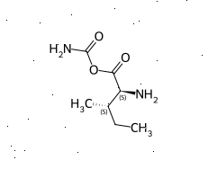 CC[C@H](C)[C@H](N)C(=O)OC(N)=O